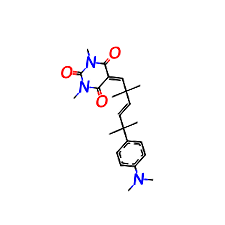 CN1C(=O)C(=CC(C)(C)C=CC(C)(C)c2ccc(N(C)C)cc2)C(=O)N(C)C1=O